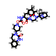 CCc1ccc(CC(NC(=O)ON2CCC(N3CCc4ccccc4NC3=O)CC2)C(=O)N2CCN(C3CC4CC[C@H](C3)N4C)CC2)cc1CC